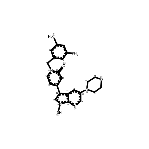 Cc1cc(P)cc(Cn2ccc(-c3cn(S)c4ncc(N5CCOCC5)cc34)cc2=O)c1